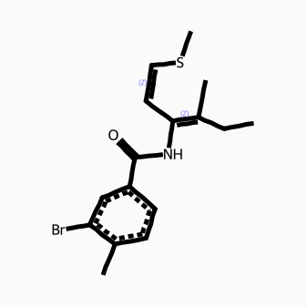 CC/C(C)=C(/C=C\SC)NC(=O)c1ccc(C)c(Br)c1